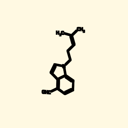 CC(C)=CCCn1ccc2c(C=O)cccc21